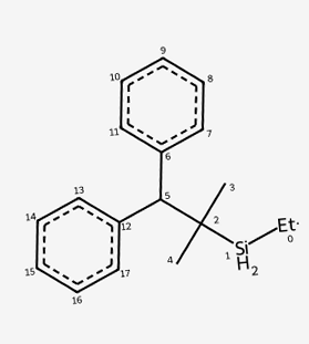 C[CH][SiH2]C(C)(C)C(c1ccccc1)c1ccccc1